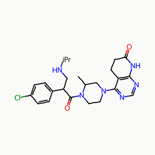 CC(C)NCC(C(=O)N1CCN(c2ncnc3c2CCC(=O)N3)CC1C)c1ccc(Cl)cc1